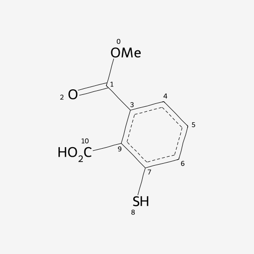 COC(=O)c1cccc(S)c1C(=O)O